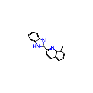 Cc1cccc2ccc(-c3nc4ccccc4[nH]3)nc12